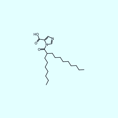 CCCCCCCCCC(CCCCCCC)C(=O)n1cncc1C(=O)O